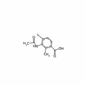 CC(=O)Nc1c(I)ccc(C(=O)O)c1C